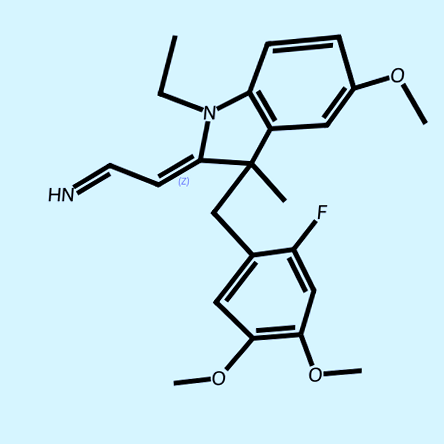 CCN1/C(=C\C=N)C(C)(Cc2cc(OC)c(OC)cc2F)c2cc(OC)ccc21